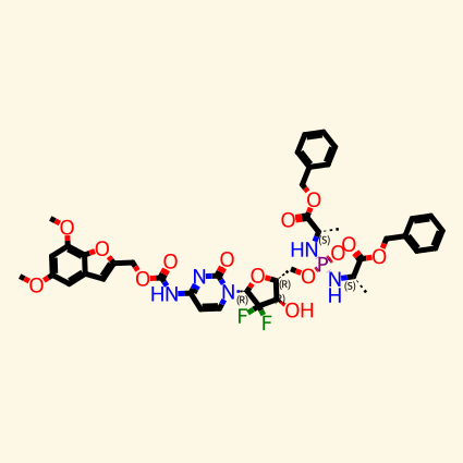 COc1cc(OC)c2oc(COC(=O)Nc3ccn([C@@H]4O[C@H](COP(=O)(N[C@@H](C)C(=O)OCc5ccccc5)N[C@@H](C)C(=O)OCc5ccccc5)[C@@H](O)C4(F)F)c(=O)n3)cc2c1